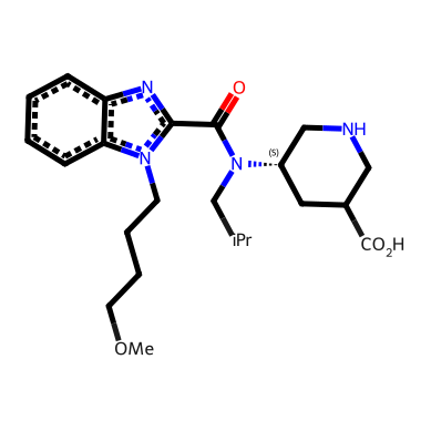 COCCCCn1c(C(=O)N(CC(C)C)[C@@H]2CNCC(C(=O)O)C2)nc2ccccc21